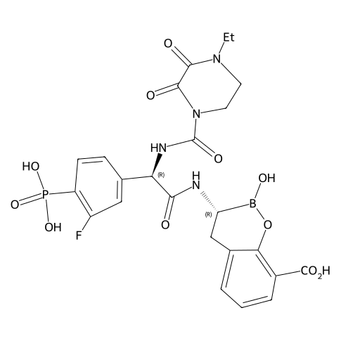 CCN1CCN(C(=O)N[C@@H](C(=O)N[C@H]2Cc3cccc(C(=O)O)c3OB2O)c2ccc(P(=O)(O)O)c(F)c2)C(=O)C1=O